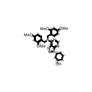 COc1ccc(CN(Cc2ccc(OC)cc2OC)c2ncnc3c2nnn3[C@@H]2CCC[C@H](O)C2)c(OC)c1